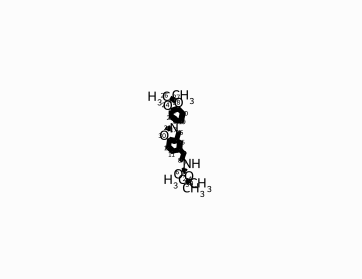 CC(C)(C)OC(=O)NCCc1ccc2c(c1)CN(c1ccc3c(c1)OC(C)(C)O3)CO2